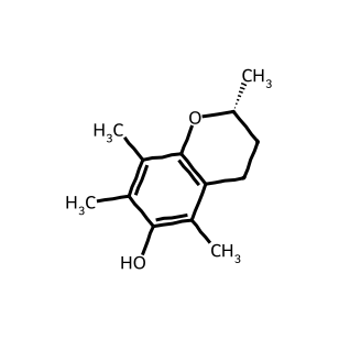 Cc1c(C)c2c(c(C)c1O)CC[C@@H](C)O2